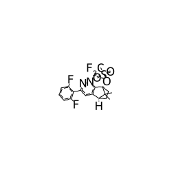 CC1(C)[C@H]2CC[C@]1(OS(=O)(=O)C(F)(F)F)c1nnc(-c3c(F)cccc3F)cc12